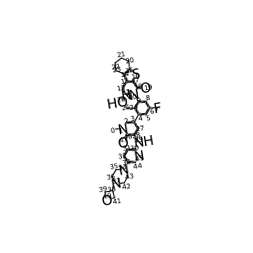 Cn1cc(-c2cc(F)cc(-n3ncc4c5c(sc4c3=O)CCCC5)c2CO)cc(Nc2ccc(N3CCN(C4COC4)CC3)cn2)c1=O